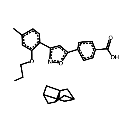 C1C2CC34CC1CC3(C2)C4.CCCOc1cc(C)ccc1-c1cc(-c2ccc(C(=O)O)cc2)on1